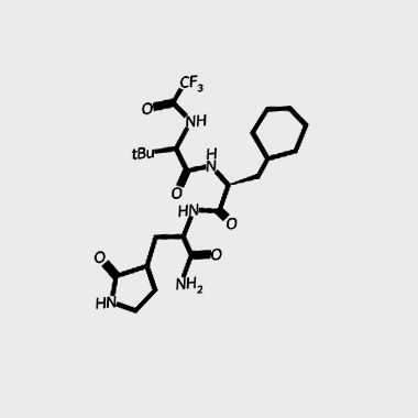 CC(C)(C)C(NC(=O)C(F)(F)F)C(=O)N[C@@H](CC1CCCCC1)C(=O)NC(CC1CCNC1=O)C(N)=O